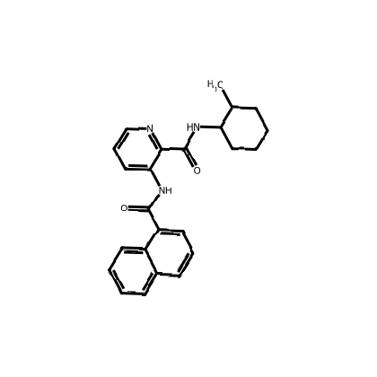 CC1CCCCC1NC(=O)c1ncccc1NC(=O)c1cccc2ccccc12